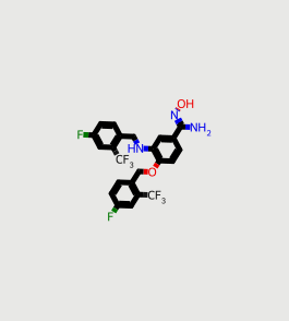 NC(=NO)c1ccc(OCc2ccc(F)cc2C(F)(F)F)c(NCc2ccc(F)cc2C(F)(F)F)c1